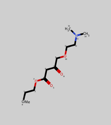 COCCOC(=O)CC(=O)COCCN(C)C